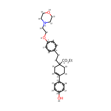 CCOC(=O)C1(CCc2ccc(OCCN3CCOCC3)cc2)CC=C(c2ccc(O)cc2)CC1